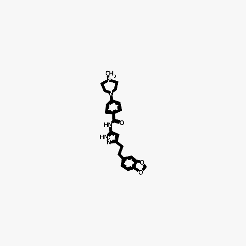 CN1CCN(c2ccc(C(=O)Nc3cc(CCc4ccc5c(c4)OCO5)n[nH]3)cc2)CC1